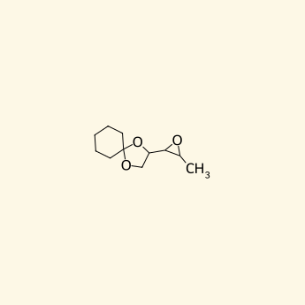 CC1OC1C1COC2(CCCCC2)O1